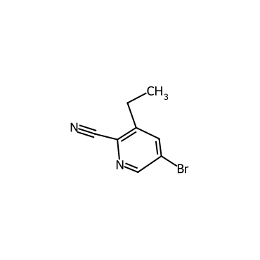 CCc1cc(Br)cnc1C#N